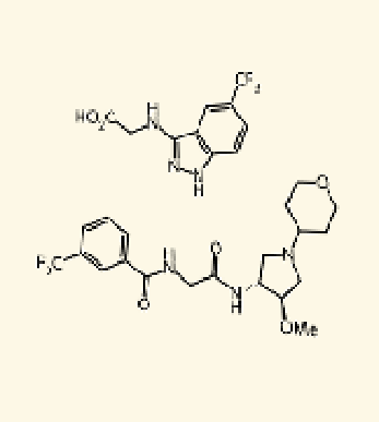 CO[C@@H]1CN(C2CCOCC2)C[C@H]1NC(=O)CNC(=O)c1cccc(C(F)(F)F)c1.O=C(O)CNc1n[nH]c2ccc(C(F)(F)F)cc12